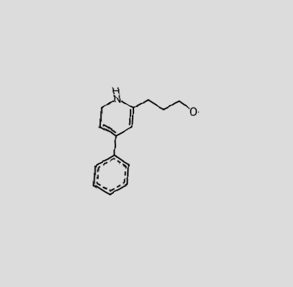 [O]CCCC1=CC(c2ccccc2)=CCN1